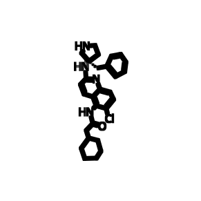 O=C(CC1CCCCC1)Nc1c(Cl)ccc2nc(N[C@]3(Cc4ccccc4)CCNC3)ccc12